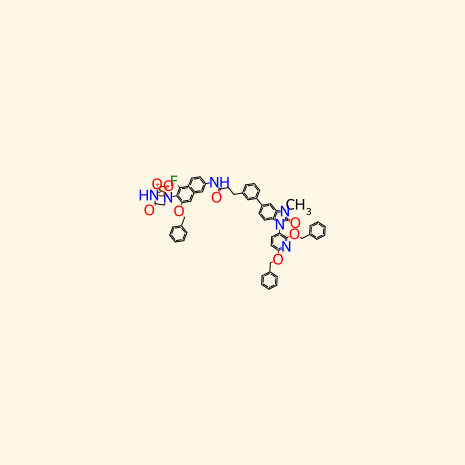 Cn1c(=O)n(-c2ccc(OCc3ccccc3)nc2OCc2ccccc2)c2ccc(-c3cccc(CCC(=O)Nc4ccc5c(F)c(N6CC(=O)NS6(=O)=O)c(OCc6ccccc6)cc5c4)c3)cc21